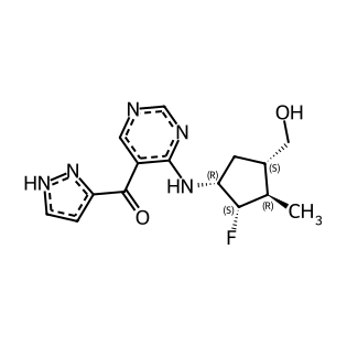 C[C@@H]1[C@@H](CO)C[C@@H](Nc2ncncc2C(=O)c2cc[nH]n2)[C@H]1F